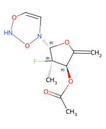 C=C1O[C@@H](n2cco[nH]o2)[C@](C)(F)[C@@H]1OC(C)=O